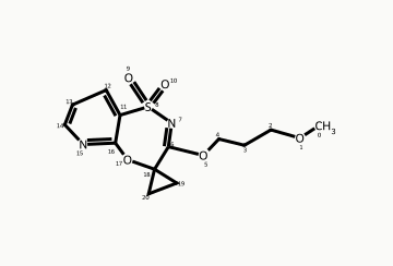 COCCCOC1=NS(=O)(=O)c2cccnc2OC12CC2